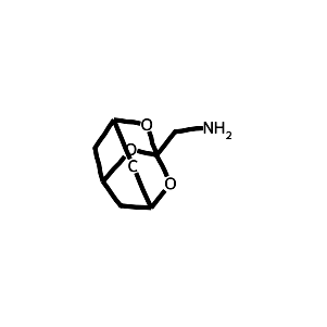 NCC12OC3CC(CC(C3)O1)O2